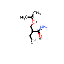 CCC(COC(C)C)C(N)=O